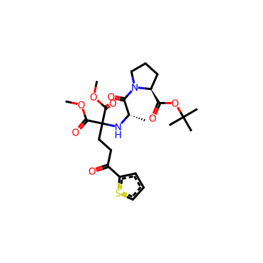 COC(=O)C(CCC(=O)c1cccs1)(N[C@@H](C)C(=O)N1CCC[C@H]1C(=O)OC(C)(C)C)C(=O)OC